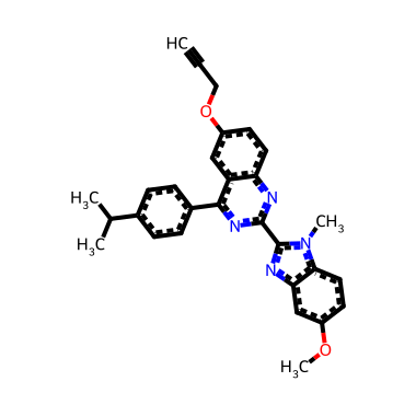 C#CCOc1ccc2nc(-c3nc4cc(OC)ccc4n3C)nc(-c3ccc(C(C)C)cc3)c2c1